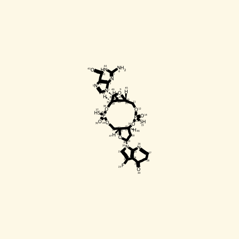 Nc1nc2c(ncn2[C@@H]2O[C@@H]3COP(=O)(S)O[C@H]4C[C@H](n5cc(F)c6c5N=CCC6=O)O[C@@H]4COP(=O)(S)O[C@@H]2[C@@H]3F)c(=O)[nH]1